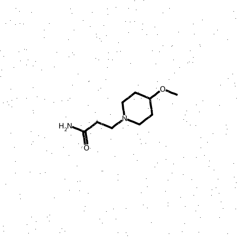 COC1CCN(C[CH]C(N)=O)CC1